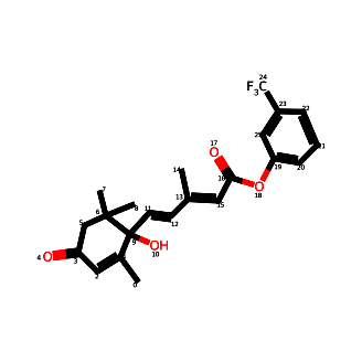 CC1=CC(=O)CC(C)(C)C1(O)/C=C/C(C)=C/C(=O)Oc1cccc(C(F)(F)F)c1